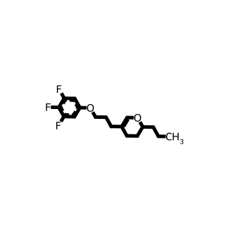 CCCC1CCC(CCCOc2cc(F)c(F)c(F)c2)=CO1